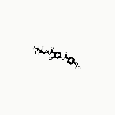 CCCCCCCCOc1ccc(C(=O)Oc2ccc(C(=O)OOCC(F)(F)C(F)(F)C(F)(F)F)c(Cl)c2)cc1